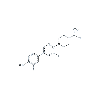 CCC(C(=O)O)C1CCN(c2ncc(-c3ccc(C=O)c(F)c3)cc2F)CC1